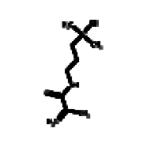 C=C(C)C(=O)NCCC[N+](C)(C)O